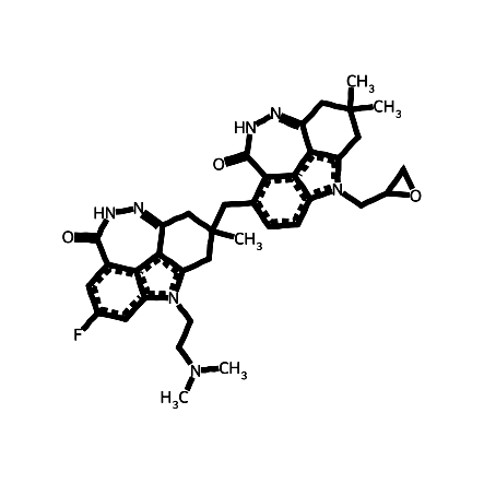 CN(C)CCn1c2c3c4c(cc(F)cc41)C(=O)NN=C3CC(C)(Cc1ccc3c4c1C(=O)NN=C1CC(C)(C)Cc(c41)n3CC1CO1)C2